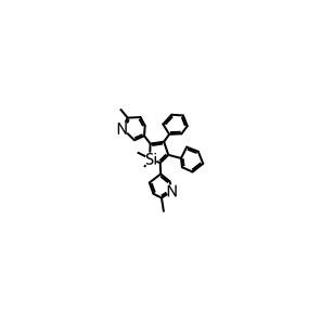 Cc1ccc(C2=C(c3ccccc3)C(c3ccccc3)=C(c3ccc(C)nc3)[Si]2(C)C)cn1